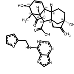 C=C1C[C@]23C[C@@]1(O)CC[C@H]2[C@@]12C=C[C@H](O)[C@@](C)(C(=O)O1)[C@H]2[C@@H]3C(=O)O.c1coc(CNc2[nH]cnc3ncnc2-3)c1